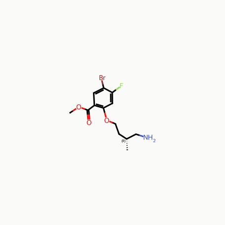 COC(=O)c1cc(Br)c(F)cc1OCC[C@@H](C)CN